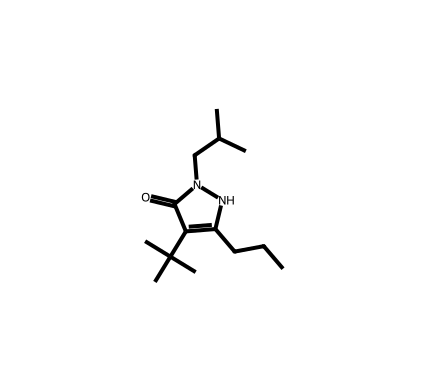 CCCc1[nH]n(CC(C)C)c(=O)c1C(C)(C)C